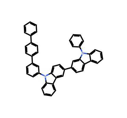 c1ccc(-c2ccc(-c3cccc(-n4c5ccccc5c5cc(-c6ccc7c8ccccc8n(-c8ccccc8)c7c6)ccc54)c3)cc2)cc1